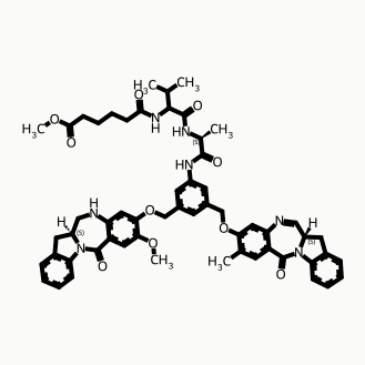 COC(=O)CCCCC(=O)NC(C(=O)N[C@@H](C)C(=O)Nc1cc(COc2cc3c(cc2C)C(=O)N2c4ccccc4C[C@H]2C=N3)cc(COc2cc3c(cc2OC)C(=O)N2c4ccccc4C[C@H]2CN3)c1)C(C)C